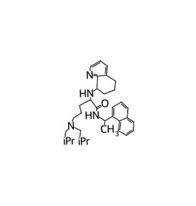 CC(C)CN(CCCC(NC1CCCc2cccnc21)C(=O)NC(C)c1cccc2ccccc12)CC(C)C